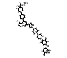 CCC1(C(=O)NC(C)(C)C)CCN(c2ccc(-c3nc(-c4cnn([C@H]5CC[C@H](N6CCN(c7c(F)cc(N[C@H]8CCC(=O)NC8=O)cc7F)CC6)CC5)c4)cn4ncc(C#N)c34)cn2)CC1